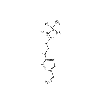 C=Cc1ccc(OCCNC(=O)C(C)(C)CC)cc1